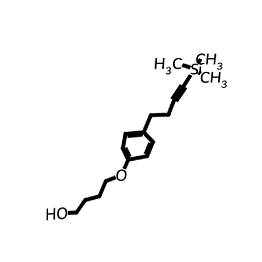 C[Si](C)(C)C#CCCc1ccc(OCCCCO)cc1